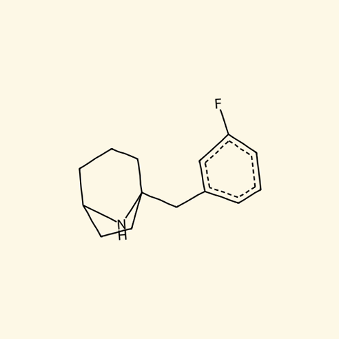 Fc1cccc(CC23CCCC(CC2)N3)c1